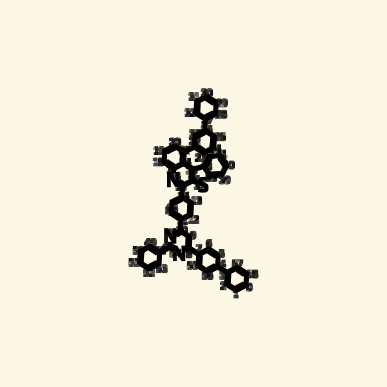 c1ccc(-c2ccc(-c3cc(-c4ccc(-c5nc6cccc(-c7cccc(-c8ccccc8)c7)c6c6c5sc5ccccc56)cc4)nc(-c4ccccc4)n3)cc2)cc1